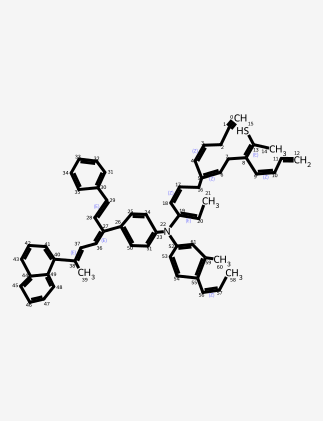 C#CC/C=C\C(=C/CC(/C=C\C=C)=C(/C)S)C/C=C\C(=C/C)N(c1ccc(C(/C=C/c2ccccc2)=C/C=C(\C)c2cccc3ccccc23)cc1)c1ccc(/C=C\C)c(C)c1